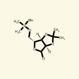 CC1(C)O[C@@H]2[C@@H](CO[Si](C)(C)C(C)(C)C)OC(Cl)[C@@H]2O1